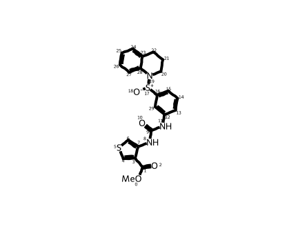 COC(=O)c1cscc1NC(=O)Nc1cccc([S+]([O-])N2CCCc3ccccc32)c1